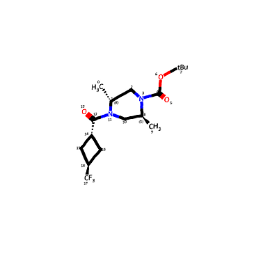 C[C@@H]1CN(C(=O)OC(C)(C)C)[C@@H](C)CN1C(=O)[C@H]1C[C@H](C(F)(F)F)C1